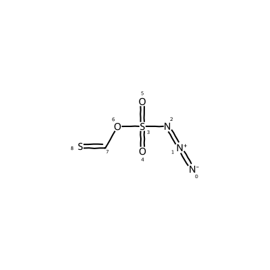 [N-]=[N+]=NS(=O)(=O)OC=S